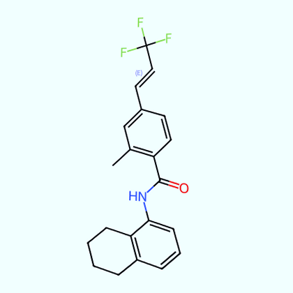 Cc1cc(/C=C/C(F)(F)F)ccc1C(=O)Nc1cccc2c1CCCC2